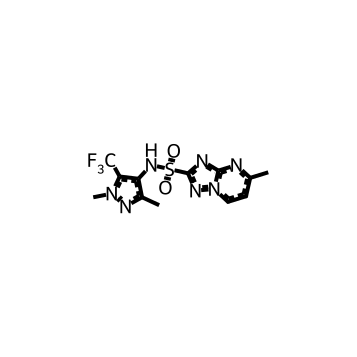 Cc1ccn2nc(S(=O)(=O)Nc3c(C)nn(C)c3C(F)(F)F)nc2n1